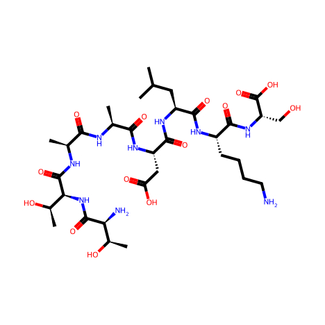 CC(C)C[C@H](NC(=O)[C@H](CC(=O)O)NC(=O)[C@H](C)NC(=O)[C@H](C)NC(=O)[C@@H](NC(=O)[C@@H](N)[C@@H](C)O)[C@@H](C)O)C(=O)N[C@@H](CCCCN)C(=O)N[C@@H](CO)C(=O)O